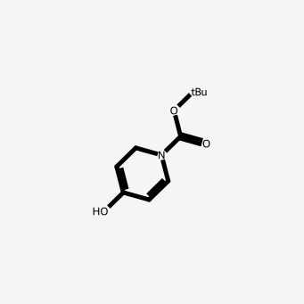 CC(C)(C)OC(=O)N1C=CC(O)=CC1